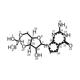 B[PH]1(O)OC[C@H]2OC(n3ccc4c(=O)[nH]c(N)nc43)C(O)[C@@H]2O1